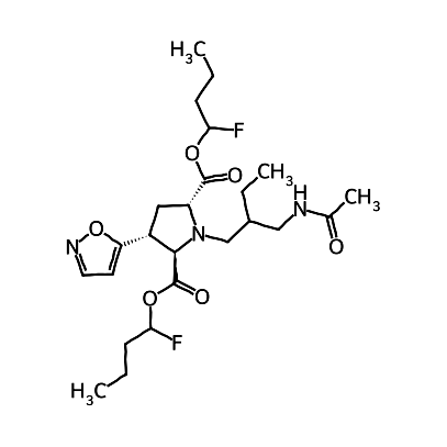 CCCC(F)OC(=O)[C@H]1C[C@@H](c2ccno2)[C@H](C(=O)OC(F)CCC)N1CC(CC)CNC(C)=O